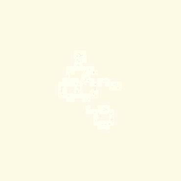 C=CC(=O)Oc1c(OCc2ccccc2)cccc1OC(C)C